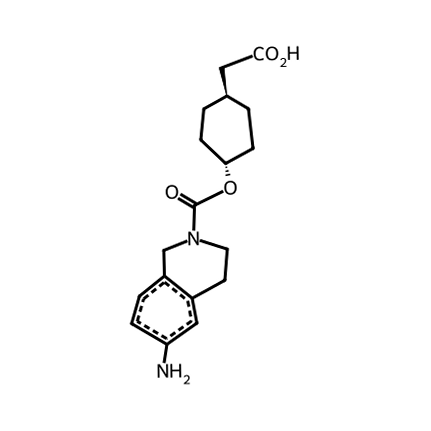 Nc1ccc2c(c1)CCN(C(=O)O[C@H]1CC[C@H](CC(=O)O)CC1)C2